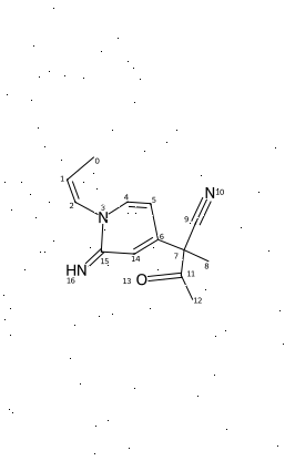 C/C=C\n1ccc(C(C)(C#N)C(C)=O)cc1=N